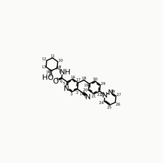 N#Cc1cnc(C(=O)N[C@H]2CCCC[C@@H]2O)cc1Cc1ccc(N2C=CCC=N2)cc1